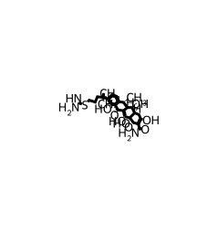 C[C@H]1c2ccc(C(C)(C)CCCSC(=N)N)c(O)c2C(=O)C2=C(O)[C@]3(O)C(=O)C(C(N)=O)=C(O)C[C@@H]3[C@@H](O)[C@@H]21